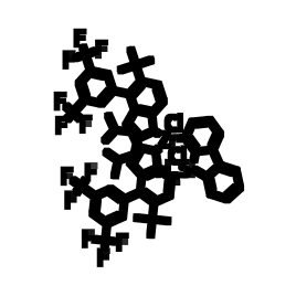 CC(C)CC1=Cc2c(ccc(C(C)(C)C)c2-c2cc(C(F)(F)F)cc(C(F)(F)F)c2)[CH]1[Zr]([Cl])([Cl])([c]1cccc2c1[SiH2]c1ccccc1-2)[CH]1C(CC(C)C)=Cc2c1ccc(C(C)(C)C)c2-c1cc(C(F)(F)F)cc(C(F)(F)F)c1